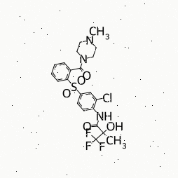 CN1CCN(C(=O)c2ccccc2S(=O)(=O)c2ccc(NC(=O)C(C)(O)C(F)(F)F)c(Cl)c2)CC1